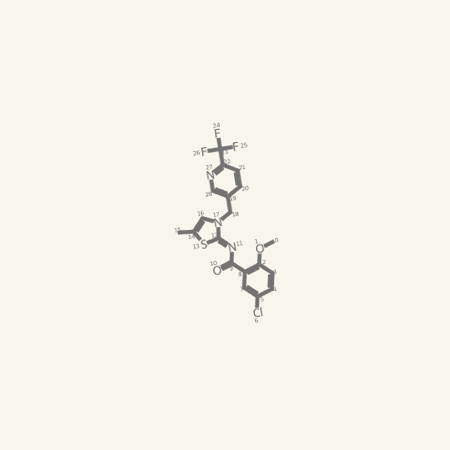 COc1ccc(Cl)cc1C(=O)N=c1sc(C)cn1Cc1ccc(C(F)(F)F)nc1